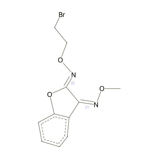 CO/N=C1\C(=N\OCCBr)Oc2ccccc21